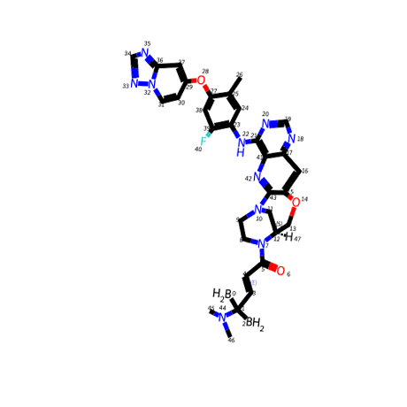 BC(B)(/C=C/C(=O)N1CCN2C[C@H]1COc1cc3ncnc(Nc4cc(C)c(Oc5ccn6ncnc6c5)cc4F)c3nc12)N(C)C